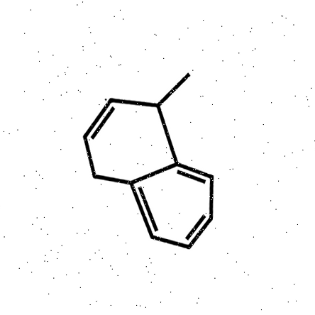 CC1[C]=CCc2ccccc21